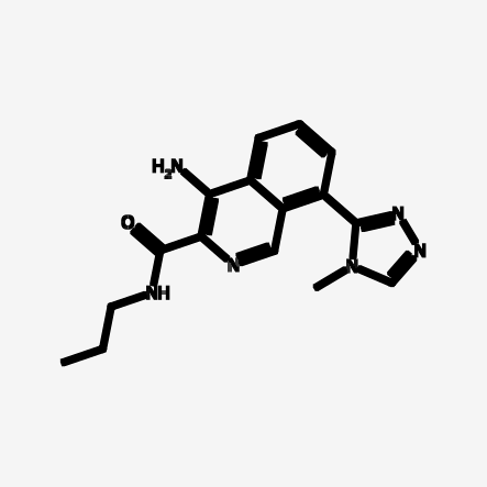 CCCNC(=O)c1ncc2c(-c3nncn3C)cccc2c1N